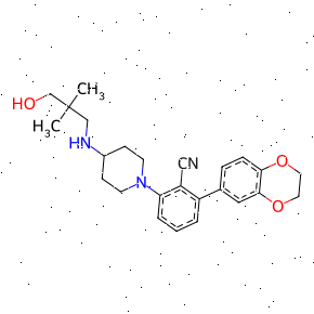 CC(C)(CO)CNC1CCN(c2cccc(-c3ccc4c(c3)OCCO4)c2C#N)CC1